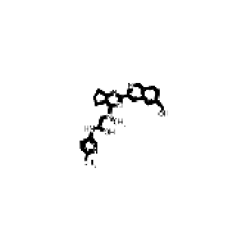 Cc1ccc(NC(O)CN(C)c2nc(-c3cc4cc(CO)ccc4cn3)nc3c2CCC3)cn1